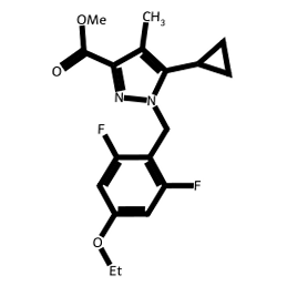 CCOc1cc(F)c(Cn2nc(C(=O)OC)c(C)c2C2CC2)c(F)c1